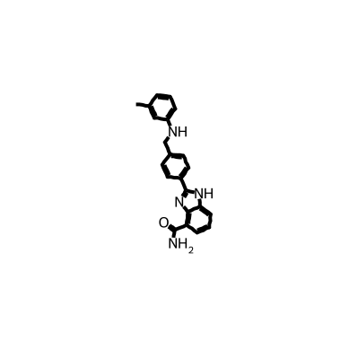 Cc1cccc(NCc2ccc(-c3nc4c(C(N)=O)cccc4[nH]3)cc2)c1